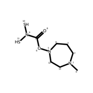 CN1CCCN(OC(=O)N(S)S)CC1